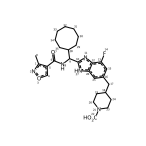 Cc1nocc1C(=O)NC(c1nc2c(F)cc(CC3CCN(C(=O)O)CC3)cc2[nH]1)C1CCCCCCC1